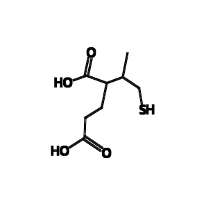 CC(CS)C(CCC(=O)O)C(=O)O